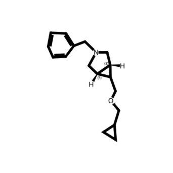 c1ccc(CN2C[C@@H]3C(COCC4CC4)[C@@H]3C2)cc1